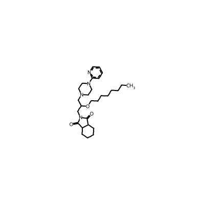 CCCCCCCCOC(CN1CCN(c2ccccn2)CC1)CN1C(=O)C2CCCCC2C1=O